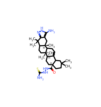 CC1(C)CC[C@]2(C(=O)NNC(N)=S)CC[C@]3(C)C(=CCC4[C@@]5(C)Cc6c(n[nH]c6N)C(C)(C)C5CC[C@]43C)C2C1